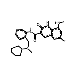 CNc1cc(F)cc2cc(C(=O)Nc3ccccc3CN(C)C3CCCCC3)c(=O)[nH]c12